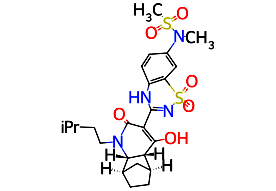 CC(C)CCN1C(=O)C(C2=NS(=O)(=O)c3cc(N(C)S(C)(=O)=O)ccc3N2)=C(O)[C@@H]2[C@H]3CC[C@H](C3)[C@@H]21